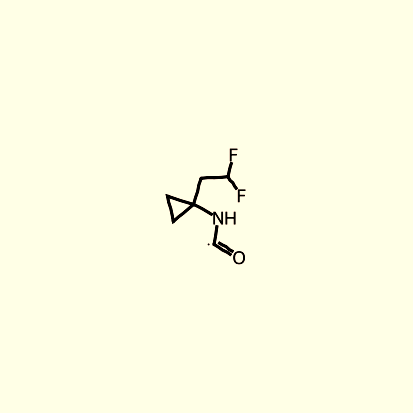 O=[C]NC1(CC(F)F)CC1